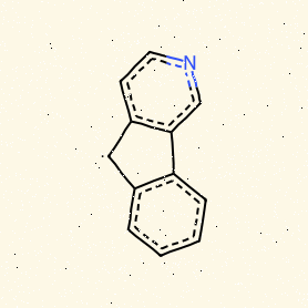 [CH]1c2ccccc2-c2cnccc21